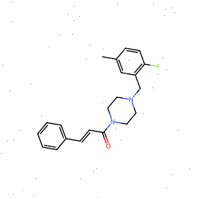 Cc1ccc(F)c(CN2CCN(C(=O)/C=C/c3ccccc3)CC2)c1